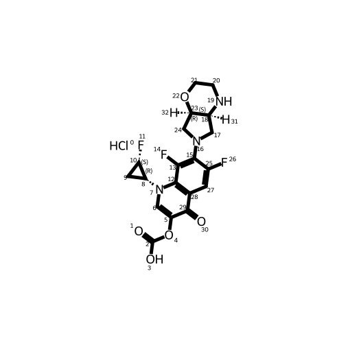 Cl.O=C(O)Oc1cn([C@@H]2C[C@@H]2F)c2c(F)c(N3C[C@@H]4NCCO[C@@H]4C3)c(F)cc2c1=O